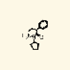 CCC(C(=O)N(N)C1CCCC1)c1ccccc1